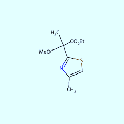 CCOC(=O)C(C)(OC)c1nc(C)cs1